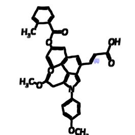 COC(=O)Cc1c2c(cn1-c1ccc(OC)cc1)c(/C=C/C(=O)O)cc1cc(OC(=O)c3ccccc3C)ccc12